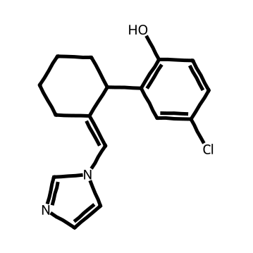 Oc1ccc(Cl)cc1C1CCCCC1=Cn1ccnc1